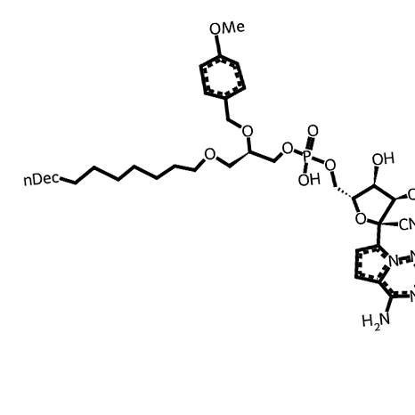 CCCCCCCCCCCCCCCCCOC[C@H](COP(=O)(O)OC[C@H]1O[C@@](C#N)(c2ccc3c(N)ncnn23)[C@H](O)[C@@H]1O)OCc1ccc(OC)cc1